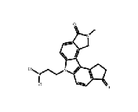 CCN(CC)CCn1c2ccc3c(c2c2c4c(ccc21)C(=O)N(C)C4)CCC3=O